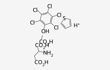 CC(=O)O.NC(CC(=O)O)C(=O)O.Oc1c(Cl)c(Cl)c(Cl)c(Cl)c1Cl.[H+].c1ccsc1